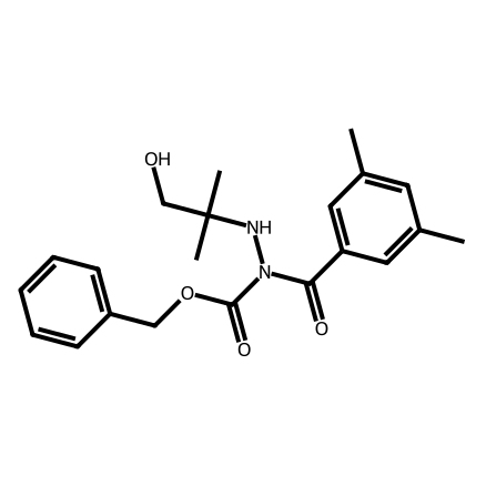 Cc1cc(C)cc(C(=O)N(NC(C)(C)CO)C(=O)OCc2ccccc2)c1